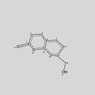 O=c1ccc2ccc(CO)cc2o1